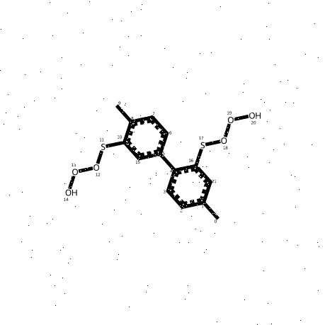 Cc1ccc(-c2ccc(C)c(SOOO)c2)c(SOOO)c1